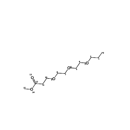 CCCOCCOCCOCCC(=O)OC